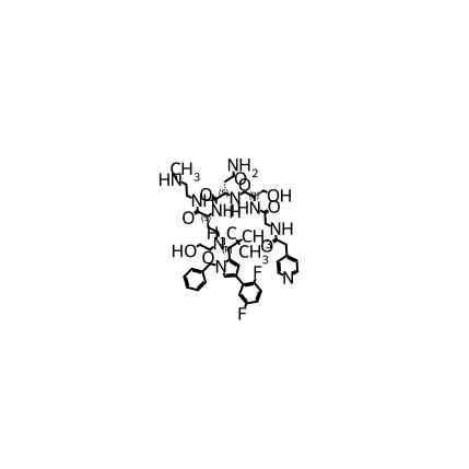 CNCCNC(=O)[C@H](CCN(C(=O)CO)[C@@H](c1cc(-c2cc(F)ccc2F)cn1Cc1ccccc1)C(C)(C)C)NC(=O)[C@H](CC(N)=O)NC(=O)[C@@H](CO)NC(=O)CNC(=O)Cc1ccncc1